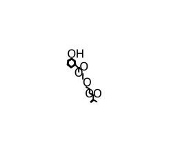 C=C(C)C(=O)OCCOCCOC(=O)c1cccc(O)c1